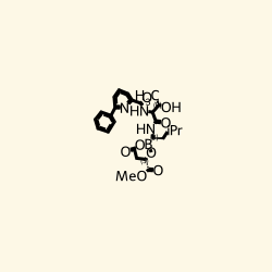 COC(=O)[C@@H]1CC(=O)OB([C@H](CC(C)C)NC(=O)C(NC(=O)c2cccc(-c3ccccc3)n2)[C@@H](C)O)O1